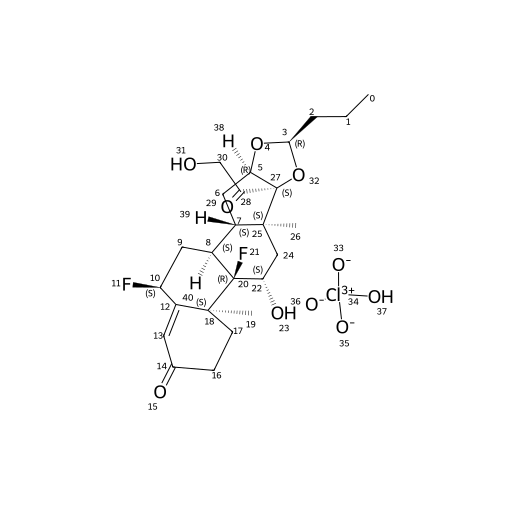 CCC[C@@H]1O[C@@H]2C[C@H]3[C@@H]4C[C@H](F)C5=CC(=O)CC[C@]5(C)[C@@]4(F)[C@@H](O)C[C@]3(C)[C@]2(C(=O)CO)O1.[O-][Cl+3]([O-])([O-])O